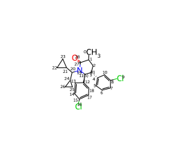 CC1C[C@H](c2cccc(Cl)c2)[C@@H](c2ccc(Cl)cc2)N(C(C2CC2)C2CC2)C1=O